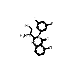 CC(C)C[C@H](N)c1nc2cccc(Cl)c2c(=O)n1-c1cc(F)cc(F)c1